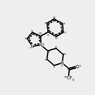 O=C(N1CCC(n2nccc2-c2ccccc2)CC1)C(F)(F)F